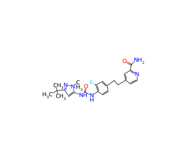 Cn1nc(C(C)(C)C)cc1NC(=O)Nc1ccc(CCc2ccnc(C(N)=O)c2)cc1F